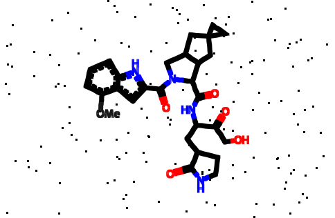 COc1cccc2[nH]c(C(=O)N3CC4CC5(CC5)CC4C3C(=O)NC(CC3CCNC3=O)C(=O)CO)cc12